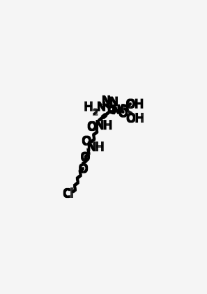 Nc1ncnc2c1c(C#CCNC(=O)CCCC(=O)NCCOCCOCCCCCCCl)cn2[C@H]1CC(O)[C@@H](CO)O1